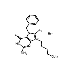 CC(=O)OCCCC[n+]1c(C(C)=O)n(Cc2ccccc2)c2c(=O)[nH]c(N)nc21.[Br-]